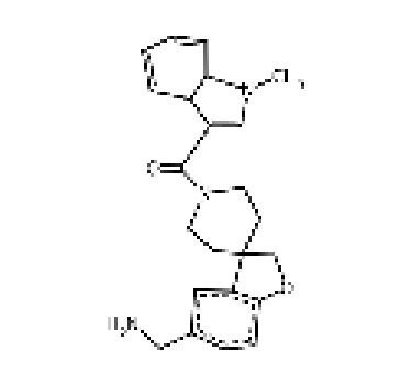 CN1C=C(C(=O)N2CCC3(CC2)COc2ccc(CN)cc23)C2C=CC=CC21